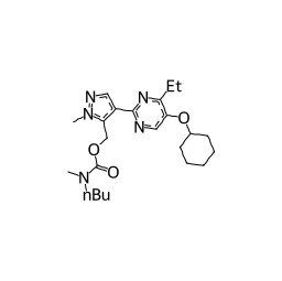 CCCCN(C)C(=O)OCc1c(-c2ncc(OC3CCCCC3)c(CC)n2)cnn1C